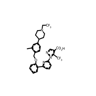 Cc1cc(C2CCN(CC(F)(F)F)CC2)ccc1COc1ccccc1-c1cccc(-n2ncc(C(=O)O)c2C(F)(F)F)n1